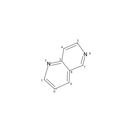 [c]1cnc2c[c]ncc2c1